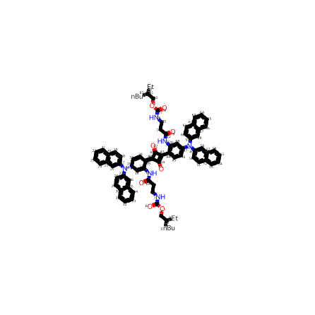 CCCCC(CC)COC(=O)NCCC(=O)NC1=CC(=[N+](c2ccc3ccccc3c2)c2ccc3ccccc3c2)C=C/C1=C1\C(=O)C(c2ccc(N(c3ccc4ccccc4c3)c3ccc4ccccc4c3)cc2NC(=O)CCNC(=O)OCC(CC)CCCC)=C1[O-]